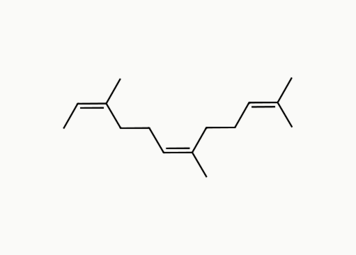 CC=C(C)CCC=C(C)CCC=C(C)C